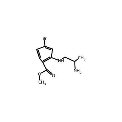 COC(=O)c1ccc(Br)cc1NCC(C)N